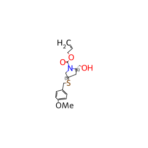 C=CCOC(=O)N1C[C@@H](SCc2ccc(OC)cc2)C[C@H]1CO